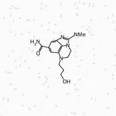 CNc1nc2cc(C(N)=O)cc3c2n1CCN3CCCO